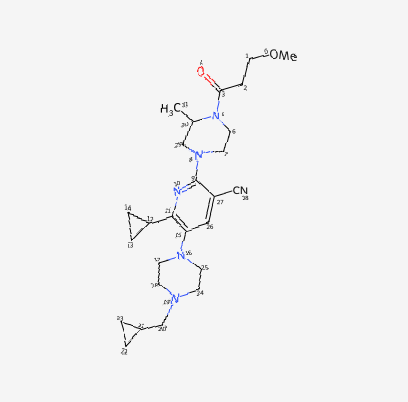 COCCC(=O)N1CCN(c2nc(C3CC3)c(N3CCN(CC4CC4)CC3)cc2C#N)CC1C